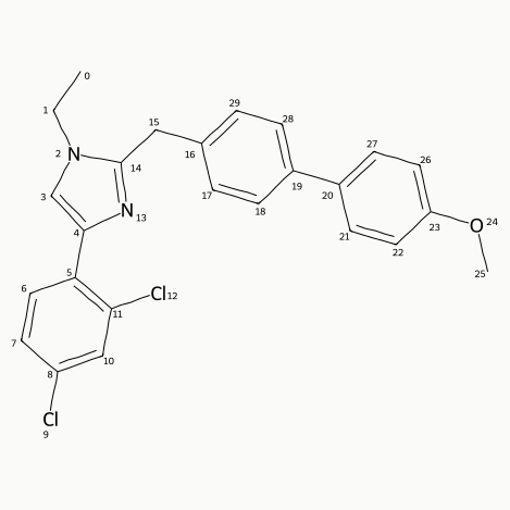 CCn1cc(-c2ccc(Cl)cc2Cl)nc1Cc1ccc(-c2ccc(OC)cc2)cc1